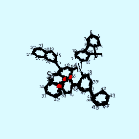 CC1(C)c2ccccc2-c2ccc(N(c3cc(-c4ccc5ccccc5c4)c4sc5ccccc5c4c3)c3ccc(-c4ccccc4)cc3-c3ccccc3)cc21